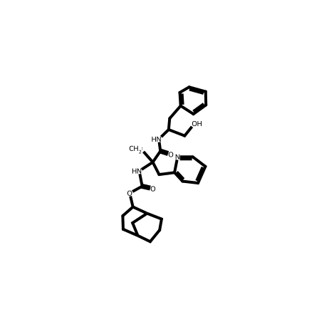 CC(Cc1ccccn1)(NC(=O)OC1CCC2CCCC1C2)C(=O)NC(CO)Cc1ccccc1.[CH2]